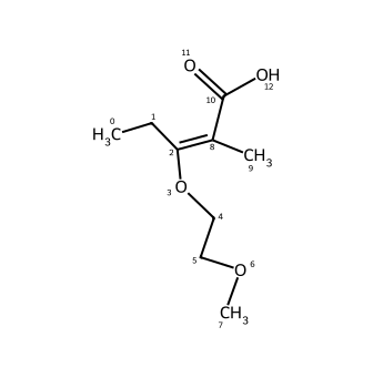 CCC(OCCOC)=C(C)C(=O)O